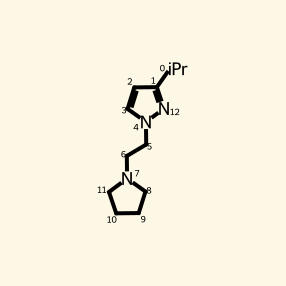 [CH2]C(C)c1ccn(CCN2CCCC2)n1